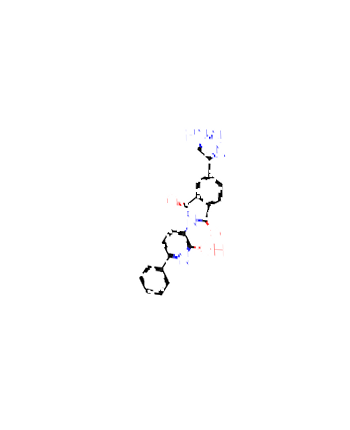 O=C1c2ccc(-c3c[nH]nn3)cc2C(=O)N1c1ccc(-c2ccccc2)nc1O